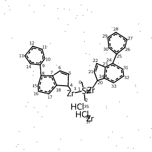 C[Si](C)([Zr][CH]1C=Cc2c(-c3ccccc3)cccc21)[Zr][CH]1C=Cc2c(-c3ccccc3)cccc21.Cl.Cl.[Zr]